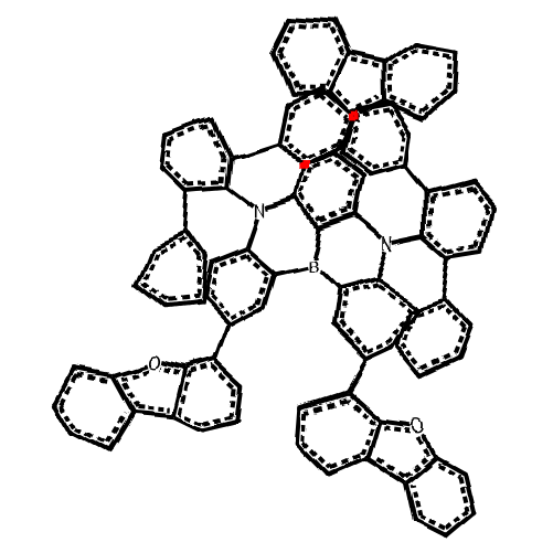 c1ccc(-c2cccc(-c3ccccc3)c2N2c3ccc(-c4cccc5c4oc4ccccc45)cc3B3c4cc(-c5cccc6c5oc5ccccc56)ccc4N(c4c(-c5ccccc5)cccc4-c4ccccc4)c4cc(-n5c6ccccc6c6ccccc65)cc2c43)cc1